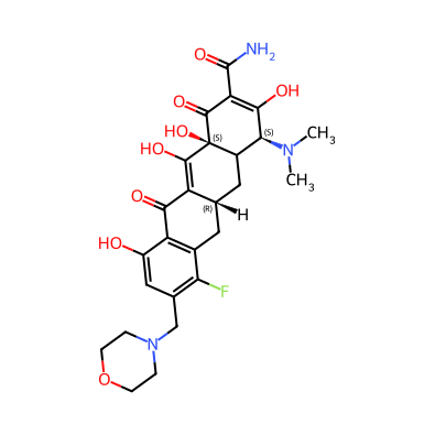 CN(C)[C@@H]1C(O)=C(C(N)=O)C(=O)[C@@]2(O)C(O)=C3C(=O)c4c(O)cc(CN5CCOCC5)c(F)c4C[C@H]3CC12